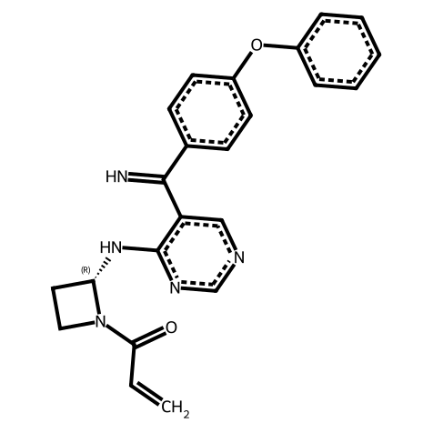 C=CC(=O)N1CC[C@@H]1Nc1ncncc1C(=N)c1ccc(Oc2ccccc2)cc1